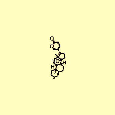 C[C@]12CC[C]C=C1CC[C@@H]1[C@@H]2CC[C@]2(C)[C@@H](c3ccc(=O)oc3)CC[C@]12O